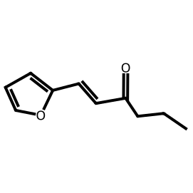 CCCC(=O)C=Cc1ccco1